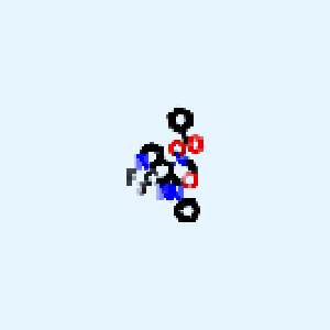 O=C(ON1C=COc2c(c(C(F)(F)F)nn2-c2ccccc2)C1c1cccnc1)c1ccccc1